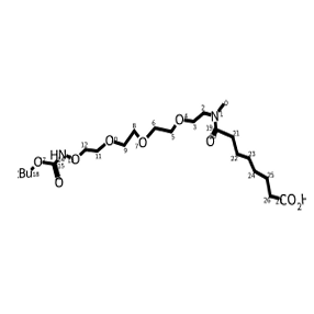 CN(CCOCCOCCOCCONC(=O)OC(C)(C)C)C(=O)CCCCCCC(=O)O